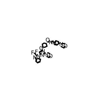 O=C(NCc1ccc(N2CCOCC2)cc1)[C@H]1CC[C@H](Oc2cc(-n3c(C(F)F)nc4ccccc43)nc(N3CCOCC3)n2)CC1